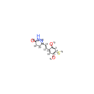 COc1cc(SC)c(OC)cc1C=CC1=NNC(=O)CC1